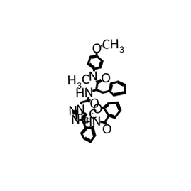 COc1ccc(N(C)C(=O)C(Cc2ccccc2)NC(=O)Cn2cc(-c3ccccc3NC(=O)c3ccccc3OC)nn2)cc1